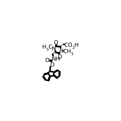 CN1C(=O)[C@H](CC(=O)O)N(C)C(=O)[C@@H]1CNC(=O)OCC1c2ccccc2-c2ccccc21